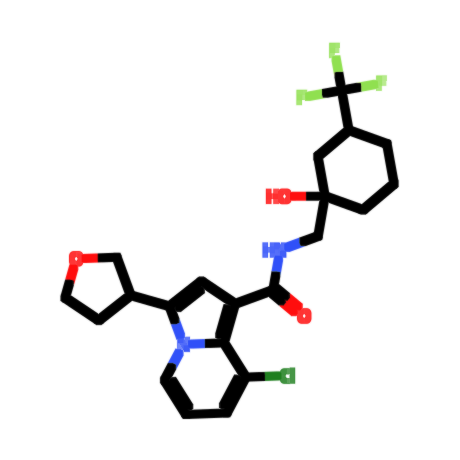 O=C(NCC1(O)CCCC(C(F)(F)F)C1)c1cc(C2CCOC2)n2cccc(Cl)c12